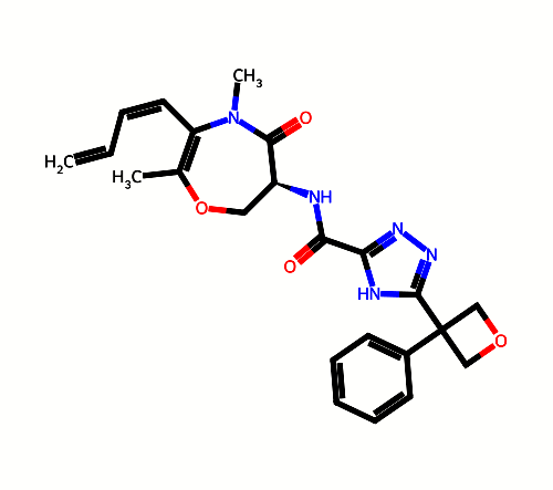 C=C/C=C\C1=C(C)OC[C@H](NC(=O)c2nnc(C3(c4ccccc4)COC3)[nH]2)C(=O)N1C